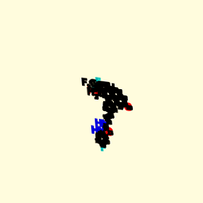 C[C@]12C[C@H](c3ccc(C=CCNC(=O)Nc4ccc(F)cc4)cc3)C3=C4CCC(=O)C=C4CC[C@H]3C1CC[C@@]2(O)C(F)(F)C(F)(F)F